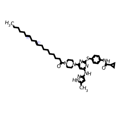 CCCCC/C=C/C/C=C/CCCCCCCC(=O)N1CCN(c2cc(Nc3cc(C)[nH]n3)nc(Sc3ccc(NC(=O)C4CC4)cc3)n2)CC1